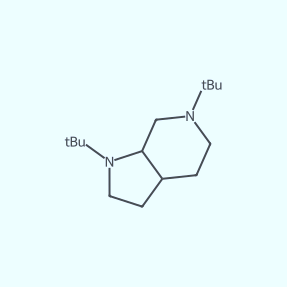 CC(C)(C)N1CCC2CCN(C(C)(C)C)C2C1